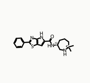 C[Si]1(C)CCC[C@H](NC(=O)c2cc3sc(-c4ccccc4)nc3[nH]2)CN1